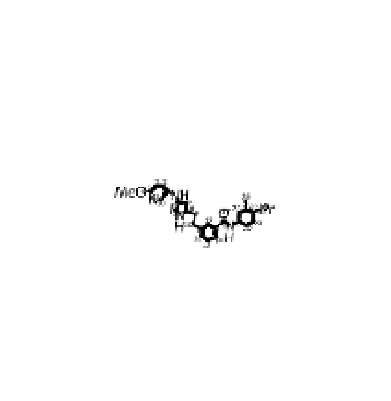 COc1ccc(Nc2cc(CCc3cccc(C(=O)Nc4ccc(C(C)C)c(C)c4)c3)[nH]n2)cn1